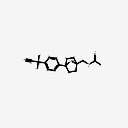 CC(=O)OCC12CCC(c3ccc(C(C)(C)C#N)cc3)(CC1)O2